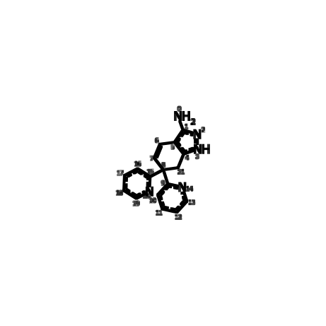 Nc1n[nH]c2c1C=CC(c1ccccn1)(c1ccccn1)C2